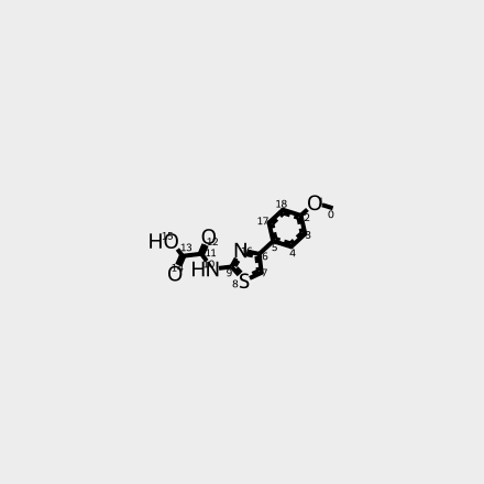 COc1ccc(-c2csc(NC(=O)C(=O)O)n2)cc1